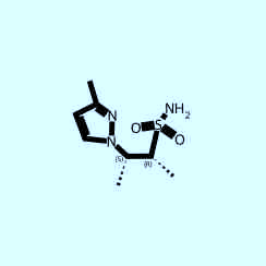 Cc1ccn([C@@H](C)[C@@H](C)S(N)(=O)=O)n1